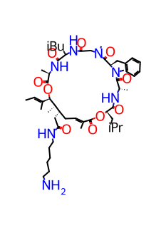 C/C=C(\C)[C@H]1OC(=O)[C@@H](C)NC(=O)C(C(C)CC)NC(=O)CN(C)C(=O)[C@@H](Cc2ccccc2)N(C)C(=O)[C@H](C)NC(=O)[C@@H](CC(C)C)OC(=O)/C(C)=C/C[C@H](CC(=O)NCCCCCCN)[C@@H]1C